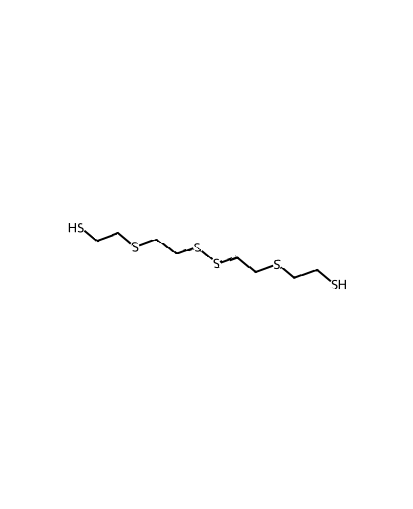 SCCSCCSSCCSCCS